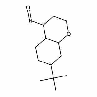 CC(C)(C)C1CCC2C(N=O)CCOC2C1